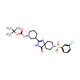 CC(C)(C)OC(=O)ON1CCCC(C2=NC3(CCN(S(=O)(=O)c4cccc(Cl)c4)CC3)C(=O)N2)C1